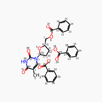 Cc1cn([C@H]2O[C@@H](COC(=O)c3ccccc3)[C@H](OC(=O)c3ccccc3)[C@@H]2OC(=O)c2ccccc2)c(=O)[nH]c1=O